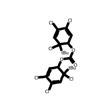 CC(C)(C)C1(Cl)C=C(Cl)C(Cl)=CC1OC(=O)OC1C=C(Cl)C(Cl)=CC1(Cl)C(C)(C)C